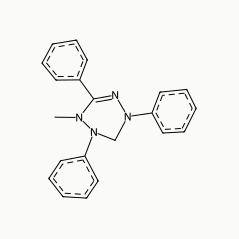 CN1C(c2ccccc2)=NN(c2ccccc2)CN1c1ccccc1